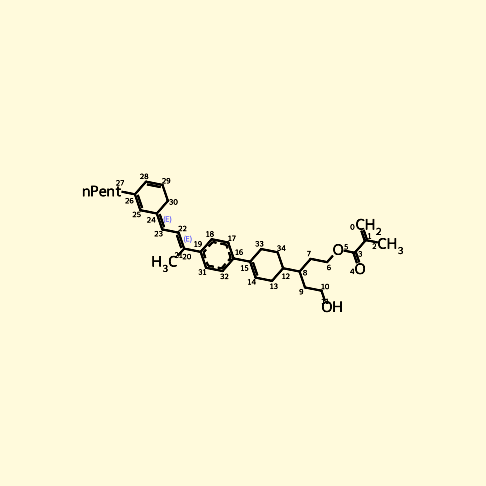 C=C(C)C(=O)OCCC(CCO)C1CC=C(c2ccc(/C(C)=C/C=C3/C=C(CCCCC)C=CC3)cc2)CC1